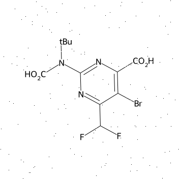 CC(C)(C)N(C(=O)O)c1nc(C(=O)O)c(Br)c(C(F)F)n1